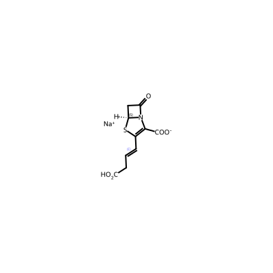 O=C(O)C/C=C/C1=C(C(=O)[O-])N2C(=O)C[C@@H]2S1.[Na+]